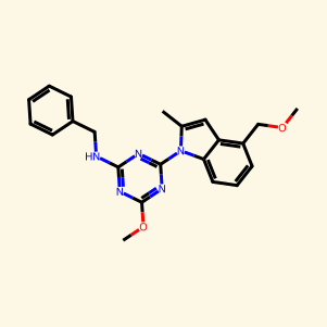 COCc1cccc2c1cc(C)n2-c1nc(NCc2ccccc2)nc(OC)n1